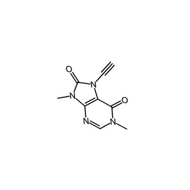 C#Cn1c(=O)n(C)c2ncn(C)c(=O)c21